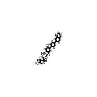 O[C@@H]1CO[C@H]2[C@@H]1OC[C@H]2Oc1nc2nc(-c3ccc(-c4ccc5cncnc5c4)cc3)c(Cl)cc2[nH]1